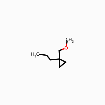 CCCC1(COC)CC1